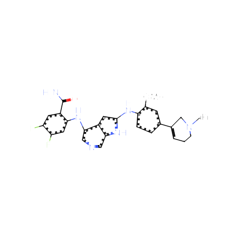 COc1cc(C2=CCCN(C(C)C)C2)ccc1Nc1cc2c(Nc3cc(F)c(F)cc3C(N)=O)cncc2[nH]1